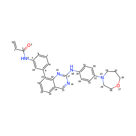 C=CC(=O)Nc1cccc(-c2cccc3cnc(Nc4ccc(N5CCCOCC5)cc4)nc23)c1